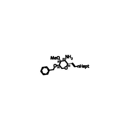 CCCCCCCC=C[C@@H]1OC[C@@H](OCc2ccccc2)[C@H](OC)[C@@H]1N